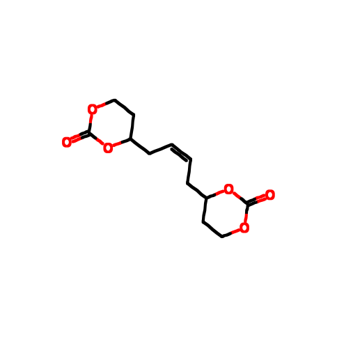 O=C1OCCC(C/C=C\CC2CCOC(=O)O2)O1